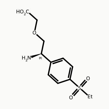 CCS(=O)(=O)c1ccc([C@@H](N)COCC(=O)O)cc1